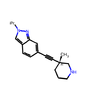 CC(C)n1cc2ccc(C#C[C@@]3(C)CCCNC3)cc2n1